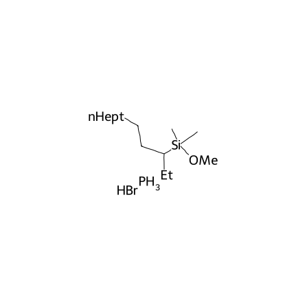 Br.CCCCCCCCCC(CC)[Si](C)(C)OC.P